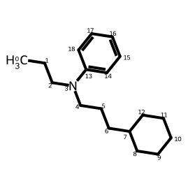 CCCN(CCCC1CCCCC1)c1ccccc1